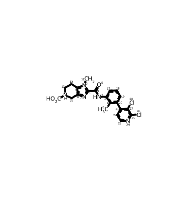 Cc1c(NC(=O)c2nc3c(n2C)CCN(C(=O)O)C3)cccc1-c1ccnc(Cl)c1Cl